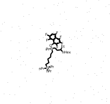 CCCCCCC(CC)CC[Si](CCCCCC[Si](CCC)(CCC)CCC)(Oc1c(F)c(F)c(F)c2c(F)[c]c(F)c(F)c12)C(C)C